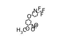 COc1ccc(Oc2ccc(C(F)(F)F)nc2)cc1[N+](=O)[O-]